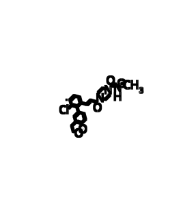 CONC(=O)N1CCN(C(=O)/C=C/c2cc[c]c(Cl)c2-c2ccc3c(c2)CCOO3)CC1